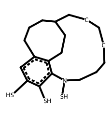 Sc1cc2c3c(c1S)N(S)CCCCCCCC(CCC2)CC3